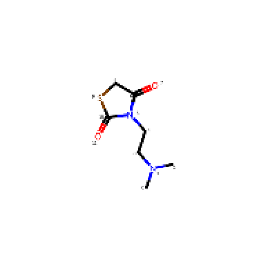 CN(C)CCN1C(=O)CSC1=O